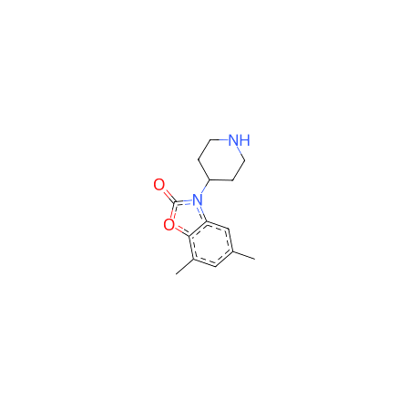 Cc1cc(C)c2oc(=O)n(C3CCNCC3)c2c1